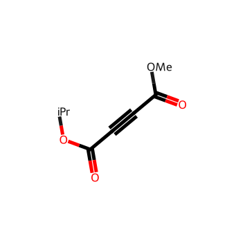 COC(=O)C#CC(=O)OC(C)C